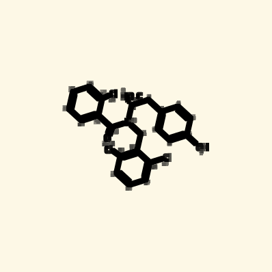 O=C(O)[C@H](Cc1ccc(O)cc1)N(Cc1c(Cl)cccc1Cl)C(=O)c1ccccc1Cl